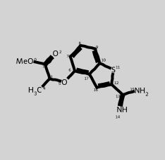 COC(=O)C(C)Oc1cccc2sc(C(=N)N)cc12